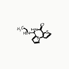 CCNC1NC(=O)c2sccc2-n2cccc21